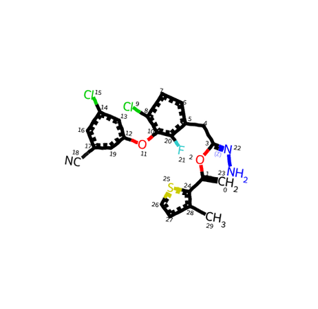 C=C(O/C(Cc1ccc(Cl)c(Oc2cc(Cl)cc(C#N)c2)c1F)=N\N)c1sccc1C